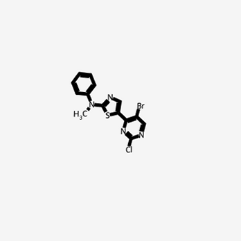 CN(c1ccccc1)c1ncc(-c2nc(Cl)ncc2Br)s1